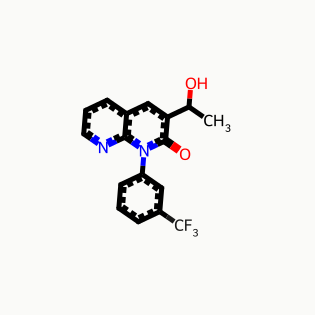 CC(O)c1cc2cccnc2n(-c2cccc(C(F)(F)F)c2)c1=O